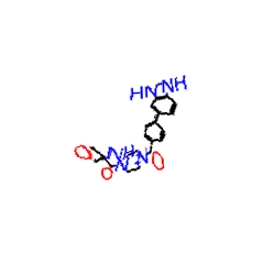 NC1(C(=O)N2CCN(C(=O)c3ccc(-c4ccc5c(c4)NCN5)cc3)CC2)COC1